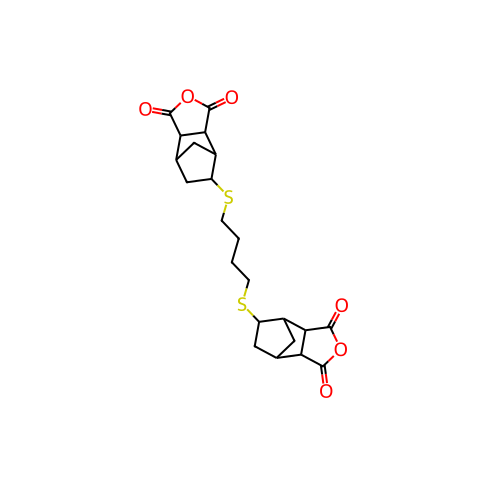 O=C1OC(=O)C2C3CC(CC3SCCCCSC3CC4CC3C3C(=O)OC(=O)C43)C12